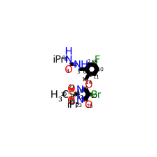 CC(C)NC(=O)NCc1cc(F)ccc1COc1nc(S(C)(=O)=O)n(C(C)C)c(=O)c1Br